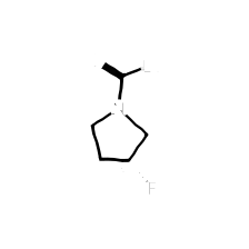 CCC(=O)N1CC[C@@H](F)C1